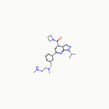 CNCCN(C)Cc1cccc(-c2cc(C(=O)N3CCC3)c3cnn(C(C)C)c3n2)c1